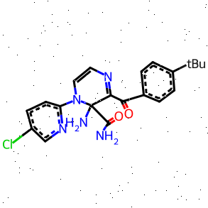 CC(C)(C)c1ccc(C(=O)C2=NC=CN(c3ccc(Cl)cn3)C2(N)C(N)=O)cc1